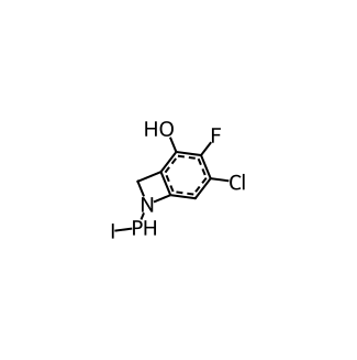 Oc1c(F)c(Cl)cc2c1CN2PI